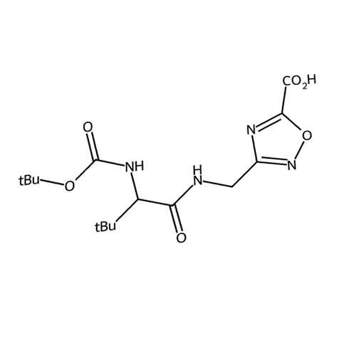 CC(C)(C)OC(=O)NC(C(=O)NCc1noc(C(=O)O)n1)C(C)(C)C